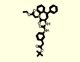 CCOC(=O)CN1C(=O)C(NC(=O)Nc2cccc(CC(=O)OC(C)(C)C)c2)C=C(c2ccccc2)c2ccccc21